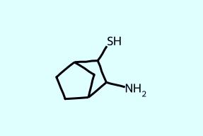 NC1C2CCC(C2)C1S